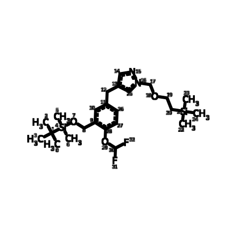 CC(C)(C)[Si](C)(C)OCc1cc(Cc2cnn(COCC[Si](C)(C)C)c2)ccc1OC(F)F